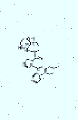 C[C@@H](c1ccccc1-c1ccc(F)cc1)N1C=NCC1C(=O)N1CCC[C@@H]2OCCN[C@H]2C1